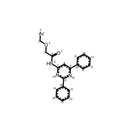 CC(=O)COCC(=O)Nc1cc(-c2ccccc2)nc(-c2ccccc2)n1